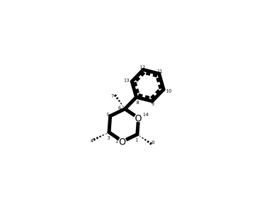 C[C@@H]1O[C@H](C)C[C@@](C)(c2ccccc2)O1